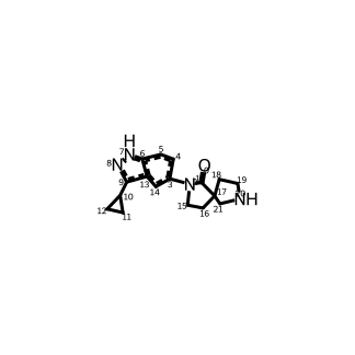 O=C1N(c2ccc3[nH]nc(C4CC4)c3c2)CCC12CCNC2